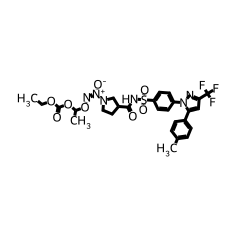 CCOC(=O)OC(C)O/N=[N+](/[O-])N1CCC(C(=O)NS(=O)(=O)c2ccc(-n3nc(C(F)(F)F)cc3-c3ccc(C)cc3)cc2)C1